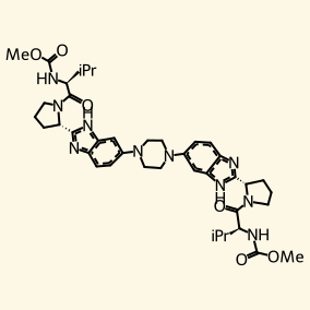 COC(=O)N[C@H](C(=O)N1CCC[C@H]1c1nc2ccc(N3CCN(c4ccc5nc([C@@H]6CCCN6C(=O)[C@@H](NC(=O)OC)C(C)C)[nH]c5c4)CC3)cc2[nH]1)C(C)C